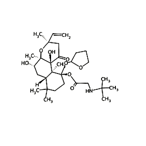 C=C[C@@]1(C)CC(=O)[C@]2(O)[C@]3(C)[C@@H](C[C@H](O)[C@@]2(C)O1)C(C)(C)CC[C@@]3(OC(=O)CNC(C)(C)C)OC1CCCO1